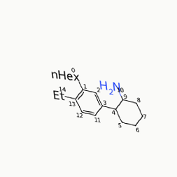 CCCCCCc1cc(C2CCCCC2N)ccc1CC